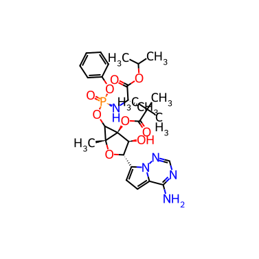 CC(C)OC(=O)[C@H](C)N[P@@](=O)(Oc1ccccc1)OC1[C@@]2(C)O[C@@H](c3ccc4c(N)ncnn34)[C@H](O)[C@@]12OC(=O)C(C)(C)C